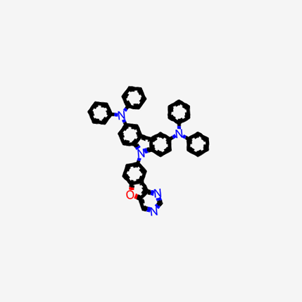 c1ccc(N(c2ccccc2)c2ccc3c(c2)c2cc(N(c4ccccc4)c4ccccc4)ccc2n3-c2ccc3oc4cncnc4c3c2)cc1